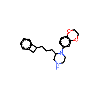 c1ccc2c(c1)CC2CCCC1CNCCN1c1ccc2c(c1)OCCO2